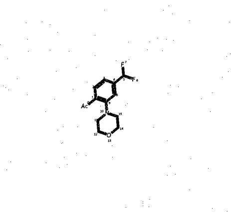 CC(=O)c1ccc(C(F)F)cc1N1CCOCC1